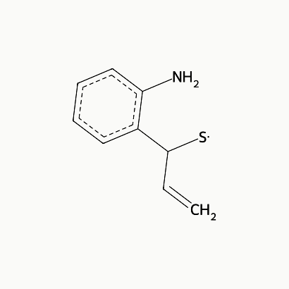 C=CC([S])c1ccccc1N